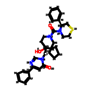 O=C(N1CC[C@@](O)(Cn2cnc(-c3ccccc3)cc2=O)C2(CCCC2)C1)N1CCSC[C@@H]1c1ccccc1